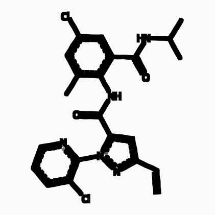 C=Cc1cc(C(=O)Nc2c(C)cc(Cl)cc2C(=O)NC(C)C)n(-c2ncccc2Cl)n1